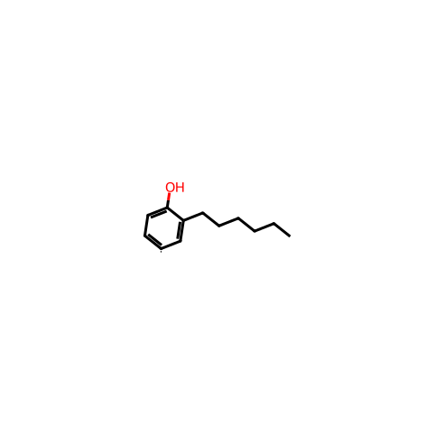 CCCCCCc1c[c]ccc1O